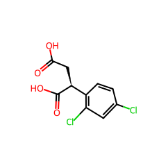 O=C(O)C[C@H](C(=O)O)c1ccc(Cl)cc1Cl